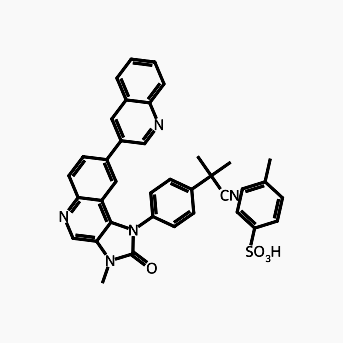 Cc1ccc(S(=O)(=O)O)cc1.Cn1c(=O)n(-c2ccc(C(C)(C)C#N)cc2)c2c3cc(-c4cnc5ccccc5c4)ccc3ncc21